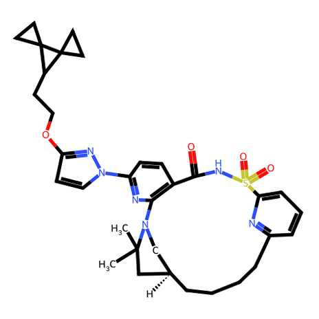 CC1(C)C[C@@H]2CCCCc3cccc(n3)S(=O)(=O)NC(=O)c3ccc(-n4ccc(OCCC5C6(CC6)C56CC6)n4)nc3N1C2